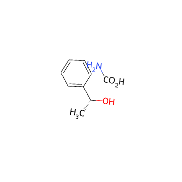 C[C@@H](O)c1ccccc1.NC(=O)O